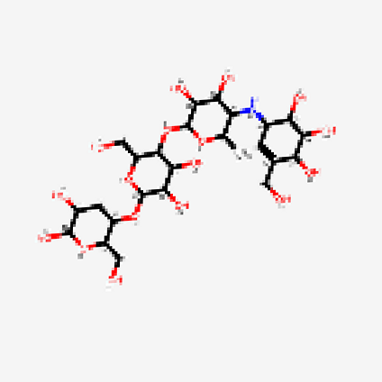 CC1OC(OC2C(CO)OC(OC3CC(O)C(O)OC3CO)C(O)C2O)C(O)C(O)C1NC1C=C(CO)C(O)C(O)C1O